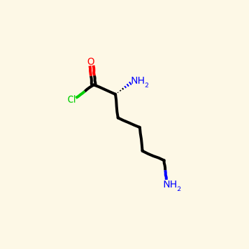 NCCCC[C@@H](N)C(=O)Cl